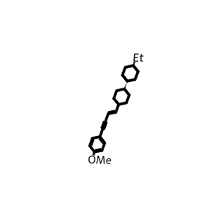 CC[C@H]1CC[C@H](C2CCC(/C=C/C#Cc3ccc(OC)cc3)CC2)CC1